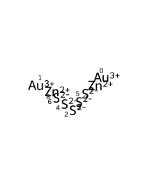 [Au+3].[Au+3].[S-2].[S-2].[S-2].[S-2].[S-2].[Zn+2].[Zn+2]